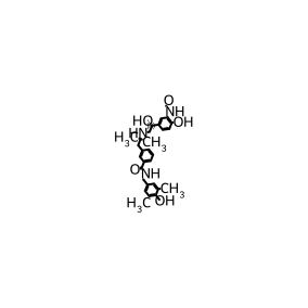 Cc1cc(CNC(=O)c2cccc(CC(C)(C)NC[C@H](O)c3ccc(O)c(NC=O)c3)c2)cc(C)c1O